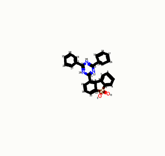 O=S1(=O)c2ccccc2-c2c(-c3nc(-c4ccccc4)nc(-c4ccccc4)n3)cccc21